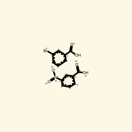 O=C(O)c1cccc(Br)c1.O=C(O)c1cccc([N+](=O)[O-])c1